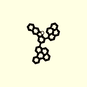 c1ccc2cc3c(cc2c1)oc1c(-c2ccc4ccc5cccc6ccc2c4c56)cc(-c2ccc4c5ccccc5c5cccc6ccc2c4c65)cc13